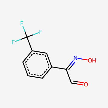 O=CC(=NO)c1cccc(C(F)(F)F)c1